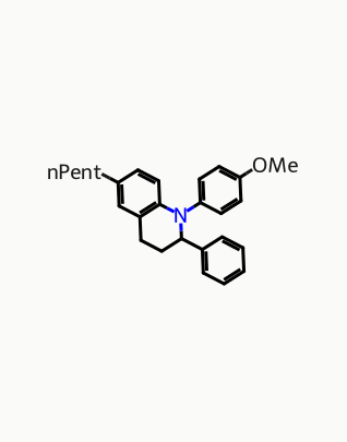 CCCCCc1ccc2c(c1)CCC(c1ccccc1)N2c1ccc(OC)cc1